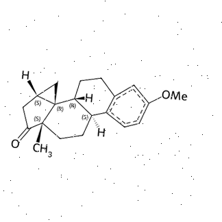 COc1ccc2c(c1)CC[C@@H]1[C@@H]2CC[C@]2(C)C(=O)C[C@@H]3C[C@@]312